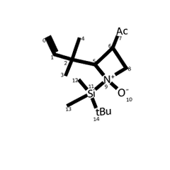 C=CC(C)(C)C1C(C(C)=O)C[N+]1([O-])[Si](C)(C)C(C)(C)C